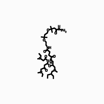 CCC(CC)CN(C)CC(CNC(=O)CCC(=O)NCCOC(C)(C)CCOC(C)(C)CC(=O)BP)OC(CC(=O)CN(C)CC)OC(=O)CN(C)CC